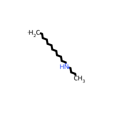 [CH2]CCCCCCCCCCCNCCCC